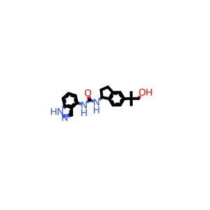 CC(C)(CO)c1ccc2c(c1)CCC2NC(=O)Nc1cccc2[nH]ncc12